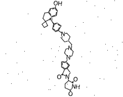 O=C1CCC(N2Cc3cc(N4CCN(CC5CCN(c6ccc([C@@H]7c8ccc(O)cc8CCC78CCC8)cc6)CC5)CC4)ccc3C2=O)C(=O)N1